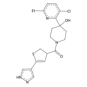 CCc1ccc(Cl)c(C2(O)CCN(C(=O)C3C=C(c4cn[nH]c4)SC3)CC2)n1